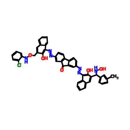 Cc1cccc(C(NO)c2cc3ccccc3c(N=Nc3ccc4c(c3)C(=O)c3cc(N=Nc5c(O)c(CONc6ccccc6Cl)cc6ccccc56)ccc3-4)c2O)c1